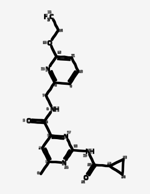 Cc1cc(C(=O)NCc2cccc(OCC(F)(F)F)n2)nc(NC(=O)C2CC2)n1